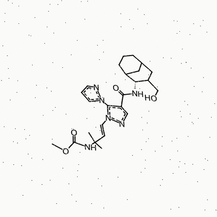 COC(=O)NC(C)(C)/C=C/n1ncc(C(=O)N[C@H]2C(CO)CC3CCCC2C3)c1-n1cccn1